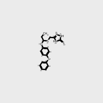 CCC(Oc1ccc(Sc2ccccc2)cc1)SCc1n[nH]c(=S)[nH]1